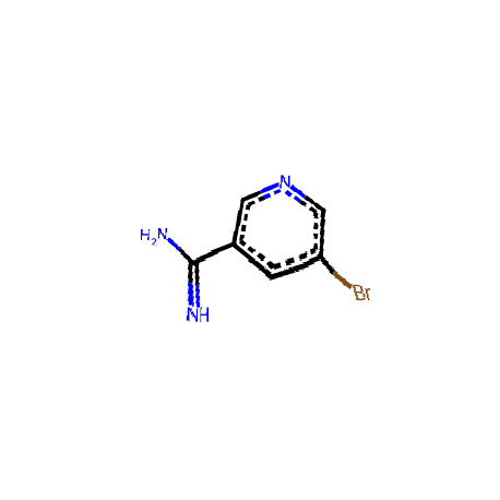 N=C(N)c1cncc(Br)c1